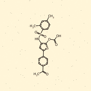 CC(=O)c1ccc(-c2cc(NS(=O)(=O)c3ccc(C)cc3C)c(OC(=O)O)s2)cc1